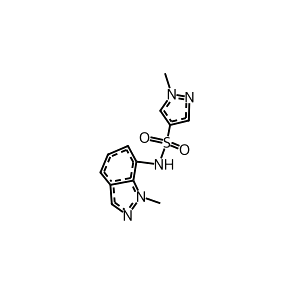 Cn1cc(S(=O)(=O)Nc2cccc3cnn(C)c23)cn1